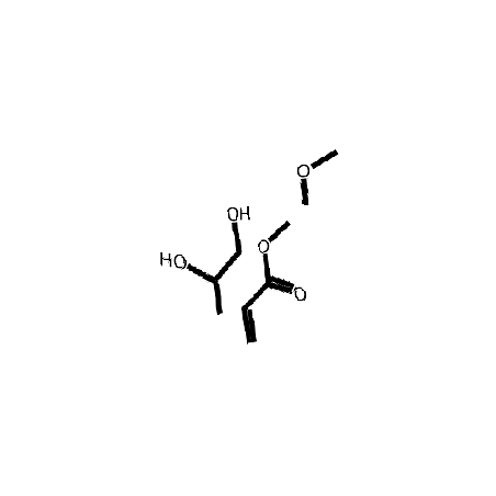 C=CC(=O)OC.CC(O)CO.COC